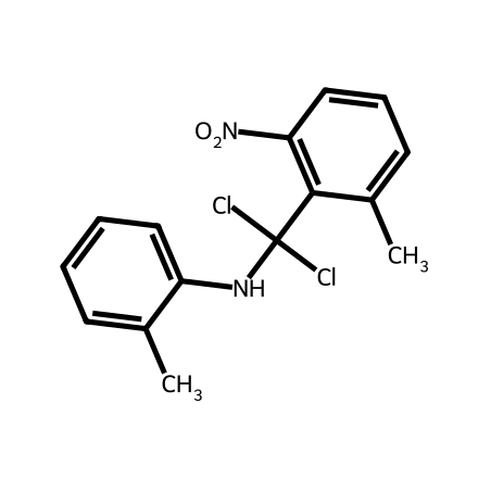 Cc1ccccc1NC(Cl)(Cl)c1c(C)cccc1[N+](=O)[O-]